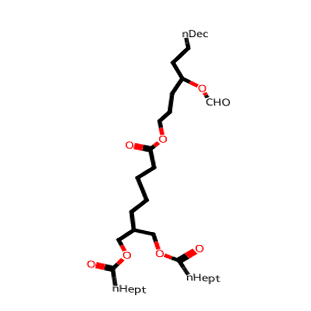 CCCCCCCCCCCCC(CCCOC(=O)CCCCC(COC(=O)CCCCCCC)COC(=O)CCCCCCC)OC=O